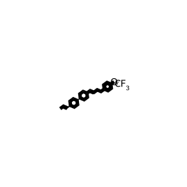 C/C=C/[C@H]1CC[C@H](C2CCC(/C=C/CCc3ccc(OC(F)(F)F)cc3)CC2)CC1